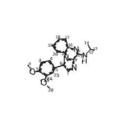 COc1ccc(-c2cnc3c(NC(C)C)nc4ccccc4n23)cc1OC